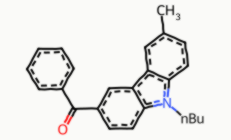 CCCCn1c2ccc(C)cc2c2cc(C(=O)c3ccccc3)ccc21